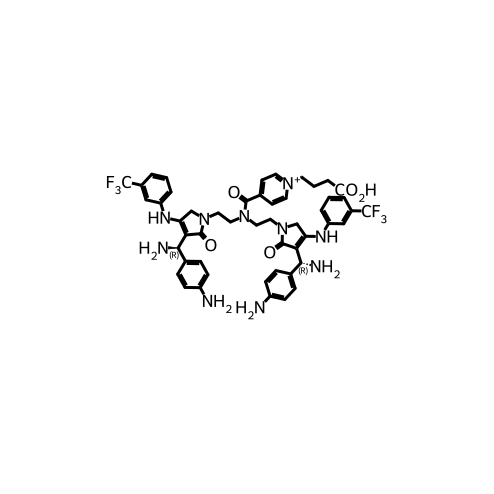 Nc1ccc([C@@H](N)C2=C(Nc3cccc(C(F)(F)F)c3)CN(CCN(CCN3CC(Nc4cccc(C(F)(F)F)c4)=C([C@H](N)c4ccc(N)cc4)C3=O)C(=O)c3cc[n+](CCCC(=O)O)cc3)C2=O)cc1